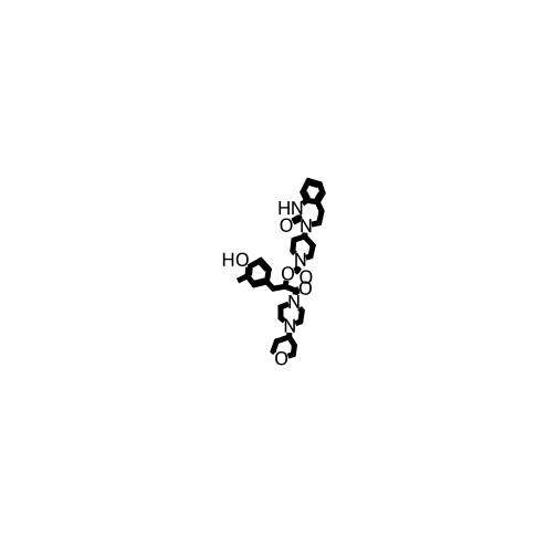 Cc1cc(CC(OC(=O)N2CCC(N3CCc4ccccc4NC3=O)CC2)C(=O)N2CCN(C3CCOCC3)CC2)ccc1O